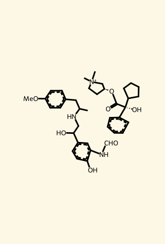 COc1ccc(CC(C)NCC(O)c2ccc(O)c(NC=O)c2)cc1.C[N+]1(C)CC[C@@H](OC(=O)[C@](O)(c2ccccc2)C2CCCC2)C1